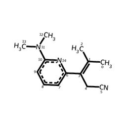 CC(C)=C(CC#N)c1cccc(N(C)C)n1